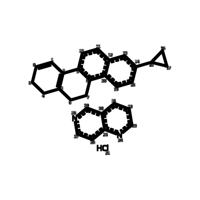 C1=CC2=C(CC1)CCc1c2ccc2cc(C3CC3)ccc12.Cl.c1cnc2ccncc2c1